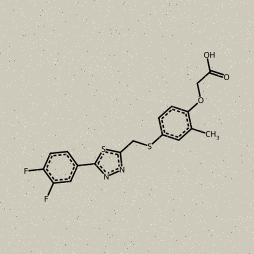 Cc1cc(SCc2nnc(-c3ccc(F)c(F)c3)s2)ccc1OCC(=O)O